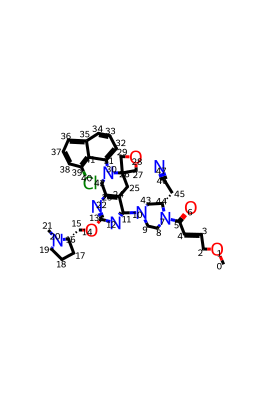 COC/C=C/C(=O)N1CCN(c2nc(OC[C@@H]3CCCN3C)nc3c2CC2(COC2)N(c2cccc4cccc(Cl)c24)C3)C[C@@H]1CC#N